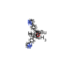 CC(C)(C)[Si](C)(CCc1ccc(-c2cccnn2)cc1)O[Si](C)(CCc1ccc(-c2cccnn2)cc1)C(C)(C)C